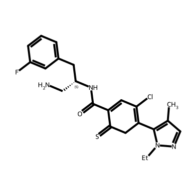 CCn1ncc(C)c1C1=C(Cl)C=C(C(=O)N[C@H](CN)Cc2cccc(F)c2)C(=S)C1